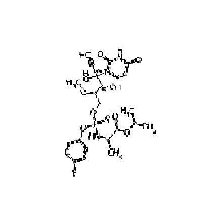 C#C[C@@](O)([C@H](O)C(COP(=S)(NC(C)C(=O)OC(C)C)Oc1ccc(F)cc1)OC)n1ccc(=O)[nH]c1=O